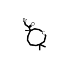 CC1(C)CCCCC[C@@](C)(C(=O)CBr)CCCC1